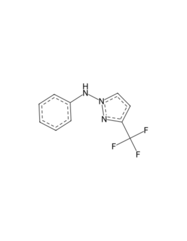 FC(F)(F)c1ccn(Nc2ccccc2)n1